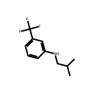 CC(C)CNc1cccc(C(F)(F)F)c1